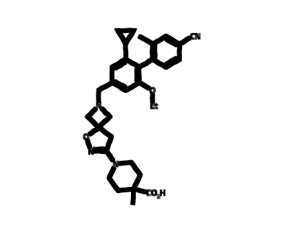 CCOc1cc(CN2CC3(CC(N4CCC(C)(C(=O)O)CC4)=NO3)C2)cc(C2CC2)c1-c1ccc(C#N)cc1C